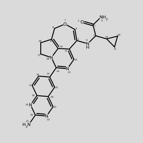 NC(=O)C(NC1=COCC2=C3C1=CN=C(c1ccc4nc(N)ncc4c1)N3CC2)C1CC1